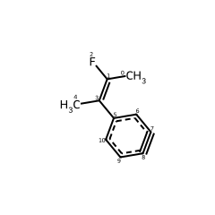 C/C(F)=C(/C)c1cc#ccc1